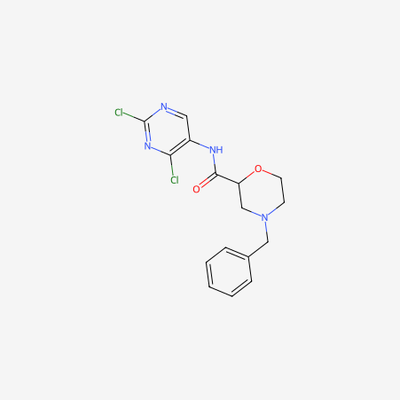 O=C(Nc1cnc(Cl)nc1Cl)C1CN(Cc2ccccc2)CCO1